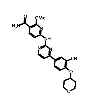 COc1nc(Nc2nccc(-c3ccc(OC4CCOCC4)c(C#N)c3)n2)ccc1C(N)=O